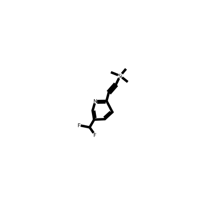 C[Si](C)(C)C#Cc1ccc(C(F)F)cn1